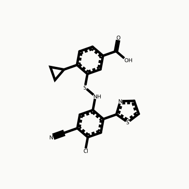 N#Cc1cc(NSc2cc(C(=O)O)ccc2C2CC2)c(-c2nccs2)cc1Cl